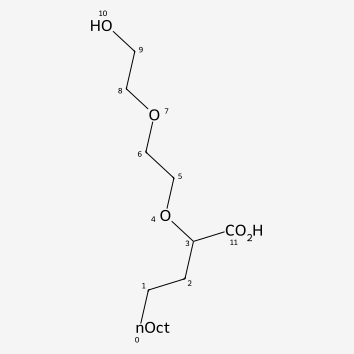 CCCCCCCCCCC(OCCOCCO)C(=O)O